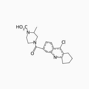 CC1CN(C(=O)c2ccc3c(Cl)c4c(nc3c2)CCCC4)CCN1C(=O)O